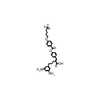 Nc1cc(N)cc(CCC/C(=C\c2ccc(OC(=O)c3ccc(OCCCCC(F)(F)F)cc3)cc2)C(=O)O)c1